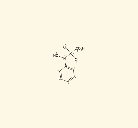 O=C(O)C(Cl)(Cl)N(O)c1ccccc1